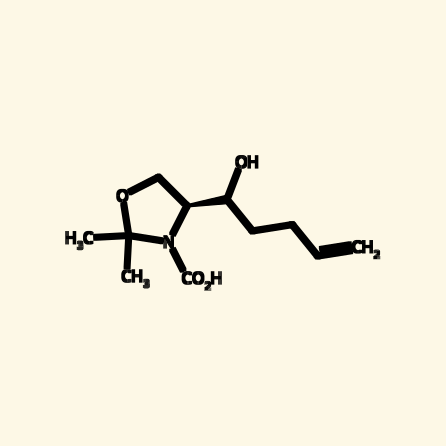 C=CCCC(O)[C@@H]1COC(C)(C)N1C(=O)O